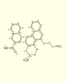 CCCCc1cc2ccccc2c2ccc3c(c12)CCC(N)C3.O=C(O)c1ccc2ccccc2c1